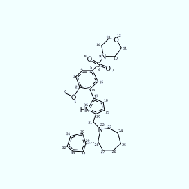 COc1ccc(S(=O)(=O)N2CCOCC2)cc1-c1ccc(CN2CCCCC[C@@H]2c2ccccc2)[nH]1